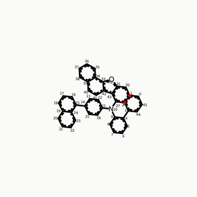 c1ccc(-c2ccccc2N(c2ccc(-c3cccc4ccccc34)cc2)c2cccc3oc4c5ccccc5ccc4c23)cc1